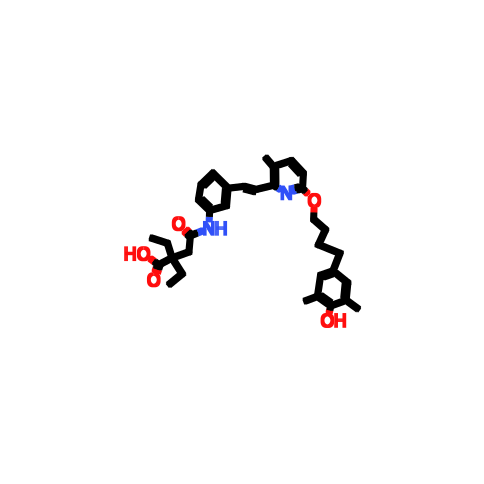 CCC(CC)(CC(=O)Nc1cccc(C=Cc2nc(OCCCCc3cc(C)c(O)c(C)c3)ccc2C)c1)C(=O)O